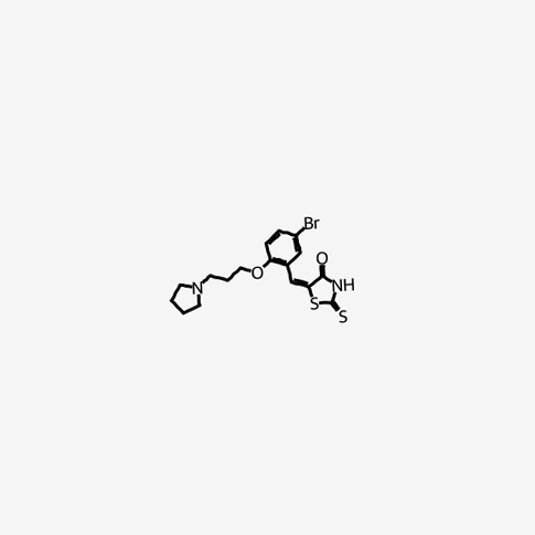 O=C1NC(=S)S/C1=C/c1cc(Br)ccc1OCCCN1CCCC1